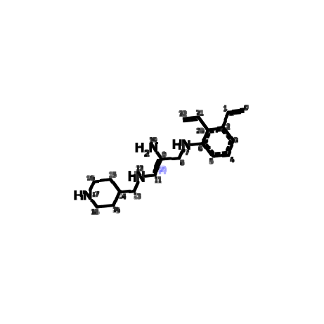 C=Cc1cccc(NC/C(N)=C/NCC2CCNCC2)c1C=C